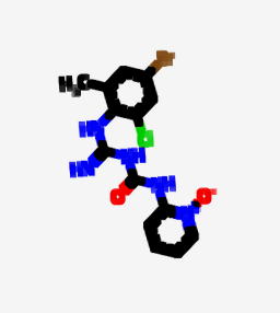 Cc1cc(Br)cc(Cl)c1NC(=N)NC(=O)Nc1cccc[n+]1[O-]